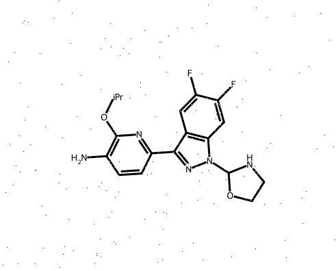 CC(C)Oc1nc(-c2nn(C3NCCO3)c3cc(F)c(F)cc23)ccc1N